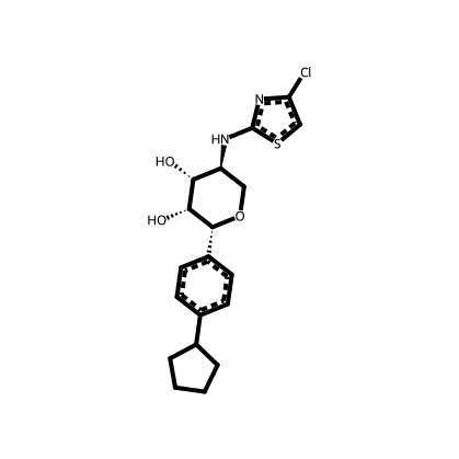 O[C@@H]1[C@H](O)[C@@H](Nc2nc(Cl)cs2)CO[C@@H]1c1ccc(C2CCCC2)cc1